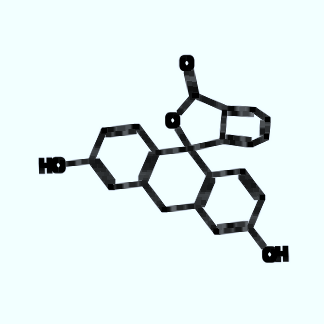 O=C1OC2(c3ccc(O)cc3Cc3cc(O)ccc32)c2ccccc21